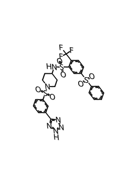 O=S(=O)(NC1CCN(S(=O)(=O)c2cccc(-c3nn[nH]n3)c2)CC1)c1cc(S(=O)(=O)c2ccccc2)ccc1C(F)(F)F